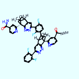 CNC(=O)c1ccnc([C@@]23CC(c4ccc(F)c(-c5cc6c(nn5)[C@@]5(c7cc(C(N)=O)ccn7)CC[C@@H]6C5(C)C)c4F)[C@@H](c4cc(-c5c(F)cccc5F)nnc42)C3(C)C)c1